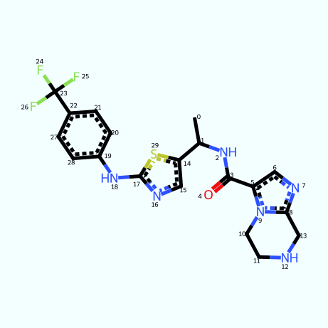 CC(NC(=O)c1cnc2n1CCNC2)c1cnc(Nc2ccc(C(F)(F)F)cc2)s1